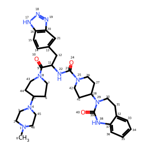 CN1CCN(C2CCN(C(=O)C(Cc3ccc4[nH]nnc4c3)NC(=O)N3CCC(N4CCc5ccccc5NC4=O)CC3)CC2)CC1